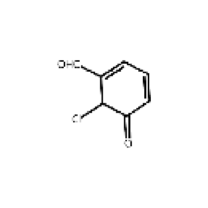 O=CC1=CC=CC(=O)C1Cl